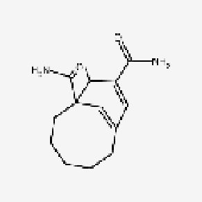 CC1C(C(N)=O)=CC2=CC1(C(N)=O)CCCCC2